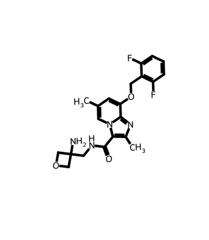 Cc1cc(OCc2c(F)cccc2F)c2nc(C)c(C(=O)NCC3(N)COC3)n2c1